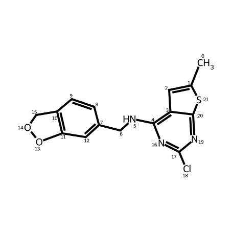 Cc1cc2c(NCc3ccc4c(c3)OOC4)nc(Cl)nc2s1